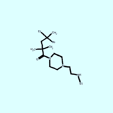 CCNCCN1CCN(C(=O)C(C)(C)CC(C)(CC)C(C)C)CC1